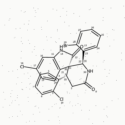 O=C1C[C@H](c2ccccc2Cl)[C@]2(C(=O)Nc3cc(Cl)ccc32)[C@@H](c2ccccc2Br)N1